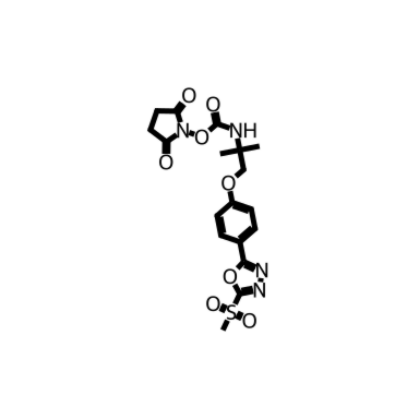 CC(C)(COc1ccc(-c2nnc(S(C)(=O)=O)o2)cc1)NC(=O)ON1C(=O)CCC1=O